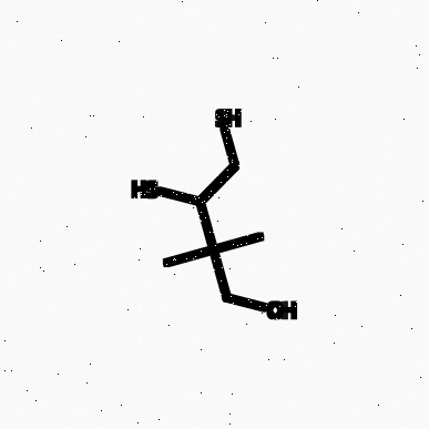 CC(C)(CO)C(S)CS